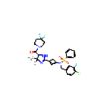 CC1(C)N=C(C23CC(N(Cc4ccc(Cl)c(F)c4)S(=O)(=O)c4ccccc4)(C2)C3)N[C@@H]1C(=O)N1CCC(F)(F)CC1